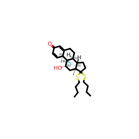 CCCCSC1(SCCCC)CC[C@H]2[C@@H]3CCC4=CC(=O)C=C[C@]4(C)[C@@]3(F)[C@@H](O)C[C@@]21C